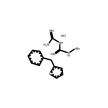 CCCCNC(=N)NC(=N)N.Cl.c1ccc(Cc2cccs2)cc1